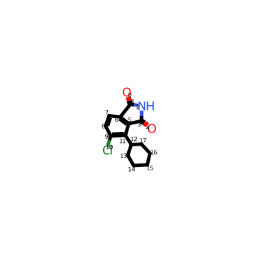 O=C1NC(=O)c2c1ccc(Cl)c2C1CCCCC1